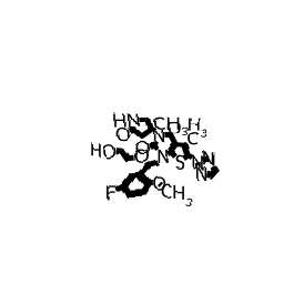 COc1ccc(F)cc1C(Cn1c(=O)n(C2(C)CNC(=O)C2)c(=O)c2c(C)c(-n3nccn3)sc21)OCCO